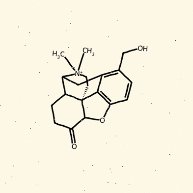 C[N+]1(C)CC[C@@]23c4c5ccc(CO)c4CC1C2CCC(=O)C3O5